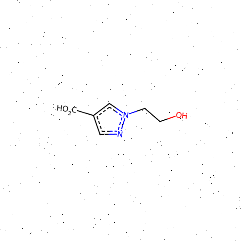 O=C(O)c1cnn(CCO)c1